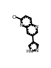 Clc1ccc2ncc(-c3cn[nH]c3)cc2n1